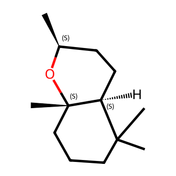 C[C@H]1CC[C@H]2C(C)(C)CCC[C@]2(C)O1